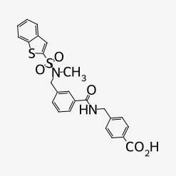 CN(Cc1cccc(C(=O)NCc2ccc(C(=O)O)cc2)c1)S(=O)(=O)c1cc2ccccc2s1